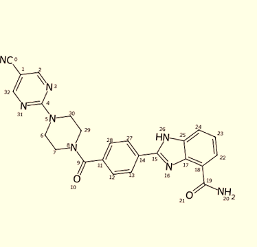 N#Cc1cnc(N2CCN(C(=O)c3ccc(-c4nc5c(C(N)=O)cccc5[nH]4)cc3)CC2)nc1